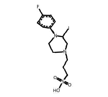 O=S(=O)(O)CCCN1CCN(c2ccc(F)cc2)C(I)C1